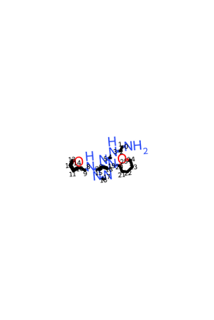 NCCNc1nc2c(NCc3ccco3)ncnc2n1C1CCCCO1